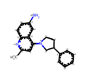 Cc1cc(N2CCC(c3ccccc3)C2)c2cc(N)ccc2n1